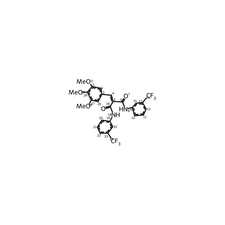 COc1cc(C=C(C(=O)Nc2cccc(C(F)(F)F)c2)C(=O)Nc2cccc(C(F)(F)F)c2)cc(OC)c1OC